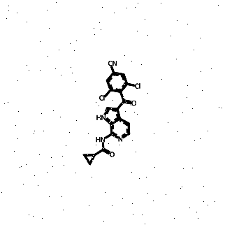 N#Cc1cc(Cl)c(C(=O)c2c[nH]c3c(NC(=O)C4CC4)nccc23)c(Cl)c1